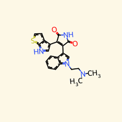 CN(C)CCn1cc(C2=C(c3c[nH]c4sccc34)C(=O)NC2=O)c2ccccc21